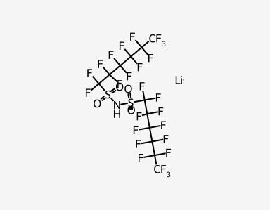 O=S(=O)(NS(=O)(=O)C(F)(F)C(F)(F)C(F)(F)C(F)(F)C(F)(F)C(F)(F)F)C(F)(F)C(F)(F)C(F)(F)C(F)(F)C(F)(F)C(F)(F)F.[Li]